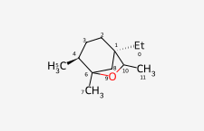 CC[C@@]12CC[C@H](C)C(C)(C1)OC2C